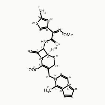 CO/N=C(\C(=O)N[C@@H]1C(=O)N2C(C(=O)[O-])=C(Cn3cc[n+]4cccc-4c3C)CS[C@H]12)c1csc(N)n1